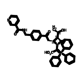 C[C@@H](O)[C@H]1C(=O)N(C(C(=O)O)=P(c2ccccc2)(c2ccccc2)c2ccccc2)[C@@H]1CC(=O)c1ccc(CNC(=O)c2cccnc2)cc1